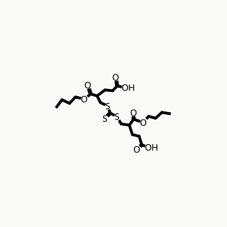 CCCCOC(=O)C(CCC(=O)O)CSC(=S)SCC(CCC(=O)O)C(=O)OCCCC